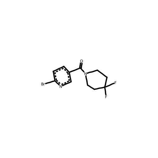 O=C(c1ccc(Br)nc1)N1CCC(F)(F)CC1